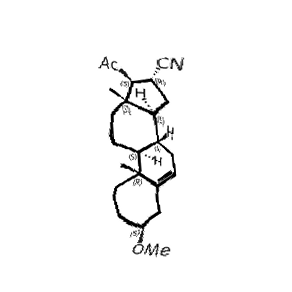 CO[C@H]1CC[C@@]2(C)C(=CC[C@H]3[C@@H]4C[C@@H](C#N)[C@H](C(C)=O)[C@@]4(C)CC[C@@H]32)C1